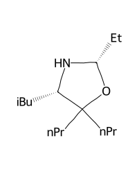 CCCC1(CCC)O[C@@H](CC)N[C@H]1C(C)CC